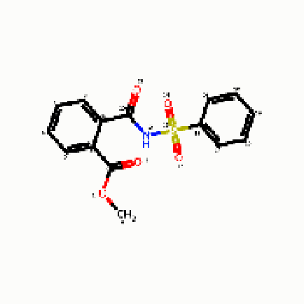 COC(=O)c1ccccc1C(=O)NS(=O)(=O)c1ccccc1